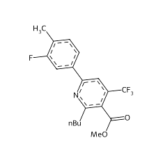 CCCCc1nc(-c2ccc(C)c(F)c2)cc(C(F)(F)F)c1C(=O)OC